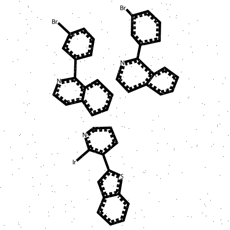 Brc1cccc(-c2nccc3ccccc23)c1.Brc1cccc(-c2nccc3ccccc23)c1.[Ir][c]1ncccc1-c1cc2ccccc2s1